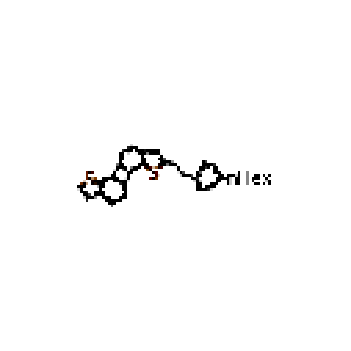 CCCCCCc1ccc(CCc2cc3ccc4c(c3s2)-c2ccc3ccsc3c2-4)cc1